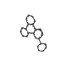 [c]1ccc(-c2ccc3c4cc[c]cc4c4ccccc4c3c2)cc1